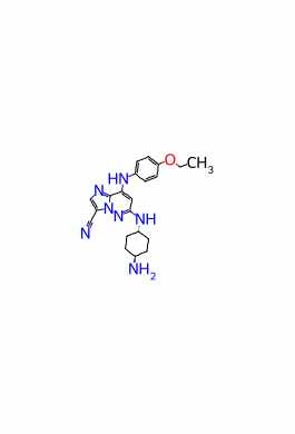 CCOc1ccc(Nc2cc(N[C@H]3CC[C@H](N)CC3)nn3c(C#N)cnc23)cc1